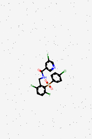 O=C(NCc1c(F)ccc(F)c1S(=O)(=O)c1ccc(Cl)cc1)c1cncc(F)c1